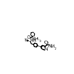 N#C[C@H](Cc1ccc(-c2ccnc(C(N)=O)c2)cc1)NC(=O)C1(N)CCCCC1